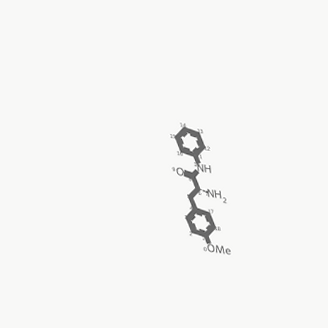 COc1ccc(C[C@@H](N)C(=O)Nc2ccccc2)cc1